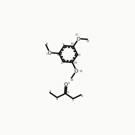 CCC(=O)CC.COc1cc(OC)cc(OC)c1